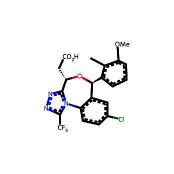 COc1cccc([C@@H]2O[C@@H](CC(=O)O)c3nnc(C(F)(F)F)n3-c3ccc(Cl)cc32)c1C